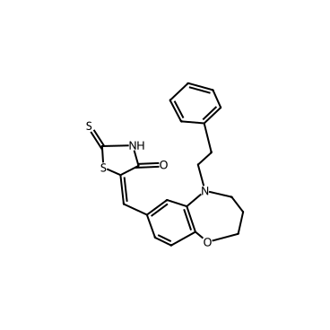 O=C1NC(=S)SC1=Cc1ccc2c(c1)N(CCc1ccccc1)CCCO2